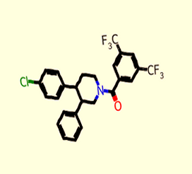 O=C(c1cc(C(F)(F)F)cc(C(F)(F)F)c1)N1CCC(c2ccc(Cl)cc2)C(c2ccccc2)C1